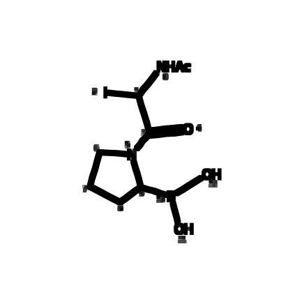 CC(=O)NC(I)C(=O)N1CCCC1B(O)O